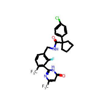 O=C(NCc1ccc(C(F)(F)F)c(-c2nc(C(F)(F)F)cc(=O)[nH]2)c1F)C1(c2ccc(Cl)cc2)CCCC1